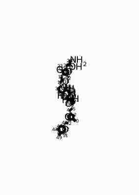 C=C1C[C@H](CC[C@@]23C[C@H]4O[C@H]5[C@@H](O2)[C@H]2O[C@@H](CC(=O)C[C@@H]6[C@@H](OC)[C@@H](C[C@H](O)CN)O[C@H]6C)CC[C@@H]2O[C@H]5[C@H]4O3)O[C@H]1CC[C@H]1C[C@@H](C)C(=C)[C@@H](C)O1